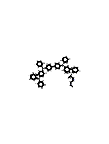 C=C(/C=C\C=C/C)n1c2ccccc2c2cc(N(c3ccccc3)c3ccc(-c4ccc(N(c5ccccc5)c5ccc6c(c5)c5ccccc5n6-c5ccccc5)cc4)cc3)ccc21